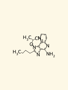 CCCCc1nc2c(N)nc3cccnc3c2n1OC(C)C